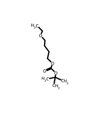 CCOCCCCOC(=O)OC(C)(C)C